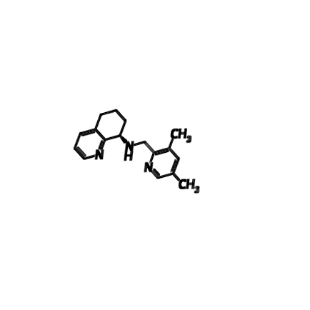 Cc1cnc(CN[C@@H]2CCCc3cccnc32)c(C)c1